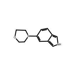 c1cc2c[nH]cc2cc1N1CCOCC1